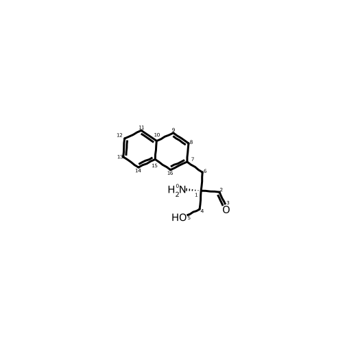 N[C@](C=O)(CO)Cc1ccc2ccccc2c1